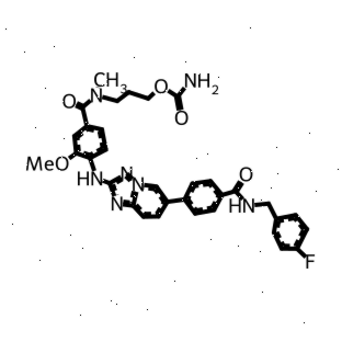 COc1cc(C(=O)N(C)CCCOC(N)=O)ccc1Nc1nc2ccc(-c3ccc(C(=O)NCc4ccc(F)cc4)cc3)cn2n1